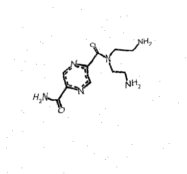 NCCN(CCN)C(=O)c1cnc(C(N)=O)cn1